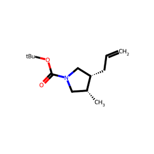 C=CC[C@H]1CN(C(=O)OC(C)(C)C)C[C@H]1C